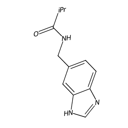 CC(C)C(=O)NCc1ccc2nc[nH]c2c1